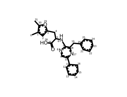 Cc1cc(CC(Nc2ncc(-c3ccccc3)nc2Cc2ccccc2)C(=O)O)oc1C